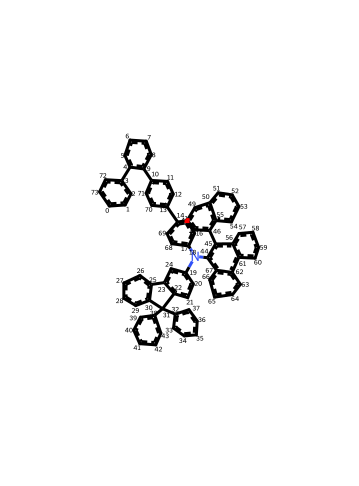 c1ccc(-c2ccccc2-c2ccc(-c3ccc(N(c4ccc5c(c4)-c4ccccc4C5(c4ccccc4)c4ccccc4)c4c(-c5cccc6ccccc56)c5ccccc5c5ccccc45)cc3)cc2)cc1